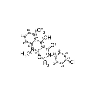 CN(C(=O)c1c(O)c2c(C(F)(F)F)cccc2n(C)c1=O)c1ccc(Cl)cc1